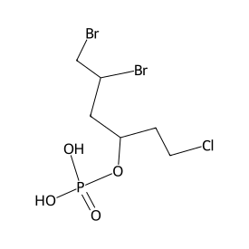 O=P(O)(O)OC(CCCl)CC(Br)CBr